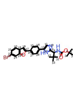 CC(C)(C)OC(=O)NC(c1ncc(-c2ccc(-c3cc4ccc(Br)cc4o3)cc2)[nH]1)C(C)(C)C